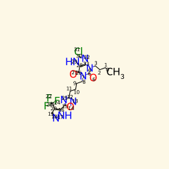 CCCCn1c(=O)n(CCCCc2noc(-c3[nH]ncc3C(F)(F)F)n2)c(=O)c2[nH]c(Cl)nc21